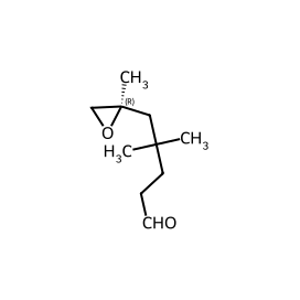 CC(C)(CCC=O)C[C@]1(C)CO1